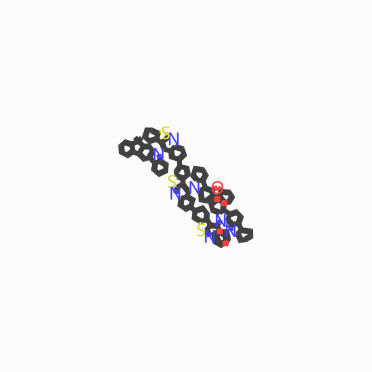 CC1(C)c2ccccc2-c2cc3c4ccccc4n(-c4c5cc(-c6ccc7c(c6)sc6nc8ccc(-c9ccc%10c(c9)sc9nc%11ccccc%11c(-n%11c%12ccccc%12c%12ccc%13c%14ccccc%14n(-c%14ccccc%14)c%13c%12%11)c9%10)cc8c(-n8c9ccccc9c9c%10oc%11ccccc%11c%10ccc98)c67)ccc5nc5sc6ccccc6c45)c3cc21